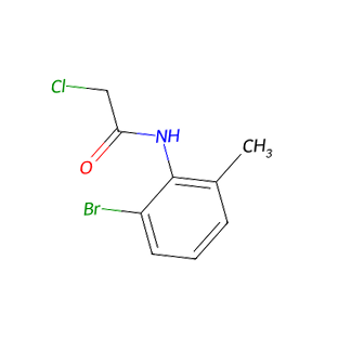 Cc1cccc(Br)c1NC(=O)CCl